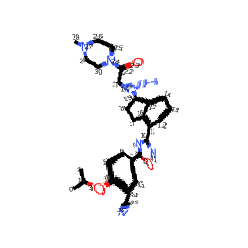 CC(C)Oc1ccc(-c2nc(-c3cccc4c3CC[C@H]4NCC(=O)N3CCN(C)CC3)no2)cc1C#N